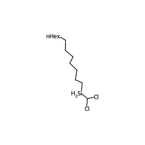 CCCCCCCCCCCCC[SiH2]C(Cl)Cl